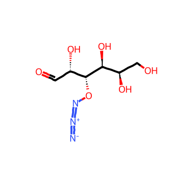 [N-]=[N+]=NO[C@@H]([C@@H](O)[C@H](O)CO)[C@@H](O)C=O